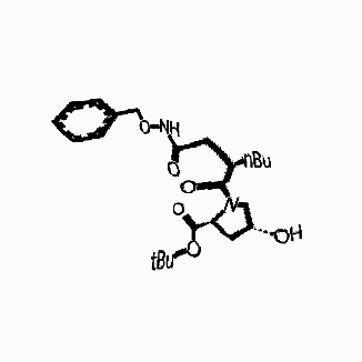 CCCC[C@H](CC(=O)NOCc1ccccc1)C(=O)N1C[C@H](O)C[C@H]1C(=O)OC(C)(C)C